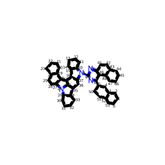 c1ccc2cc(-c3nc(-n4c5ccccc5c5c6c7c8ccccc8ccc7n7c8ccccc8c(cc54)c67)nc4ccc5ccccc5c34)ccc2c1